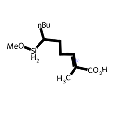 CCCCC(CC/C=C(\C)C(=O)O)[SiH2]OC